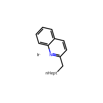 CCCCCCCCc1ccc2ccccc2n1.[Ir]